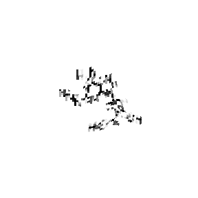 [N-]=[N+]=Nc1nc(N)c2ncn([C@H]3C[C@H](O)[C@@H](CO)O3)c2n1